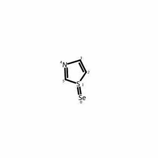 [Se]=S1C=CN=C1